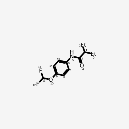 CCC(CC)C(=O)Nc1ccc(OC(F)F)cc1